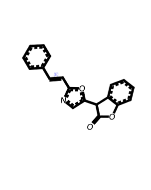 O=C1Oc2ccccc2C1c1cnc(/C=C/c2ccccc2)o1